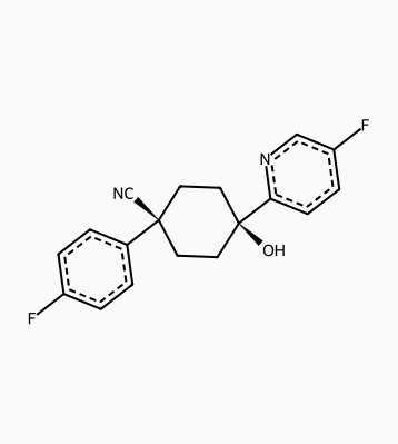 N#C[C@]1(c2ccc(F)cc2)CC[C@@](O)(c2ccc(F)cn2)CC1